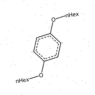 CCCCCCOc1[c]cc(OCCCCCC)[c]c1